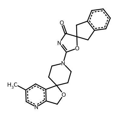 Cc1cnc2c(c1)C1(CCN(C3=NC(=O)C4(Cc5ccccc5C4)O3)CC1)OC2